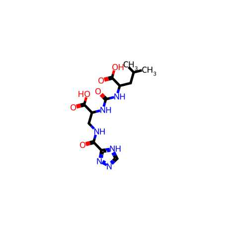 CC(C)CC(NC(=O)NC(CNC(=O)c1nnc[nH]1)C(=O)O)C(=O)O